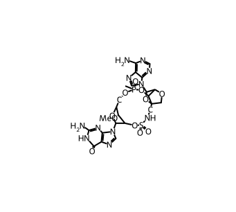 COC1C2COP(C)(=O)OC3C4OCC3(CNS(=O)(=O)OC1C(n1cnc3c(=O)[nH]c(N)nc31)O2)OC4n1cnc2c(N)ncnc21